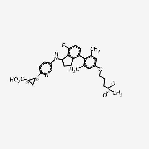 Cc1cc(OCCCS(C)(=O)=O)cc(C)c1-c1ccc(F)c2c1CCC2Nc1ccc([C@@H]2C[C@H]2C(=O)O)nc1